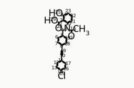 CC(=O)N(Cc1ccc(C#Cc2ccc(Cl)cc2)cc1)c1cccc(O)c1C(=O)O